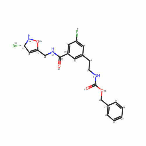 O=C(NCCc1cc(F)cc(C(=O)NCC2=C[C@H](Br)NO2)c1)OCc1ccccc1